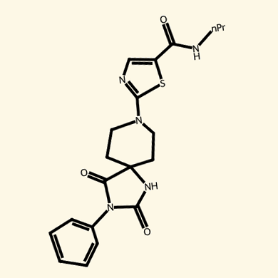 CCCNC(=O)c1cnc(N2CCC3(CC2)NC(=O)N(c2ccccc2)C3=O)s1